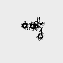 CC1(c2ccc(Oc3ccccc3)cc2)NC(=S)N(CCCN2CCOCC2)C1=O